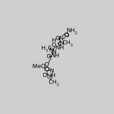 C=C1C[C@H]2C=Nc3cc(OCCCC(=O)Nc4cn(C)c(C(O)Nc5cc(C(=O)N6Cc7ccc(N)cc7C6)n(C)c5)n4)c(OC)cc3C(=O)N2C1